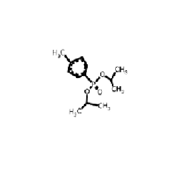 Cc1ccc(P(=O)(OC(C)C)OC(C)C)cc1